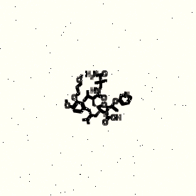 COCCCOc1cc(C[C@@H](C[C@H]2[C@H](C[C@H](C(=O)NCC(C)(C)C(N)=O)C(C)C)OC(C(C)Oc3cccnc3)N2C(=O)O)C(C)C)ccc1OC